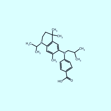 Cc1cc2c(cc1N(CC(C)C)c1ccc(C(=O)O)cc1)C(C)(C)CCN2C(C)C